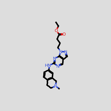 CCOC(=O)CCCn1ncc2cnc(Nc3ccc4c(c3)CN(C)CC4)nc21